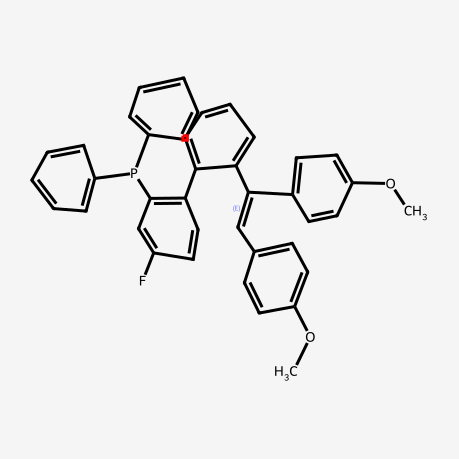 COc1ccc(/C=C(\c2ccc(OC)cc2)c2ccccc2-c2ccc(F)cc2P(c2ccccc2)c2ccccc2)cc1